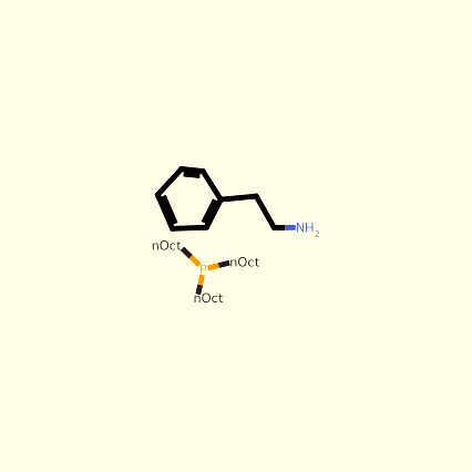 CCCCCCCCP(CCCCCCCC)CCCCCCCC.NCCc1ccccc1